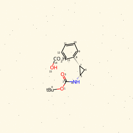 CC(C)(C)OC(=O)N[C@H]1C[C@H]1c1ccccc1.O=C(O)O